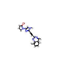 Cc1nc(C#Cc2nc(N3CCCC3=O)cn2C)nc2c(C)cccc12